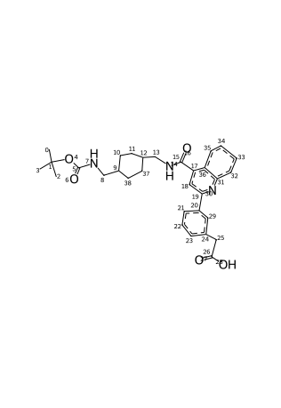 CC(C)(C)OC(=O)NCC1CCC(CNC(=O)c2cc(-c3cccc(CC(=O)O)c3)nc3ccccc23)CC1